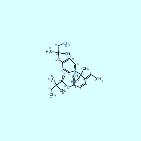 C=C(/C=C\C(=C/C)C(C)(C)c1ccc(OC(C)(C)CC)cc1)OC(=O)C(C)(C)CC